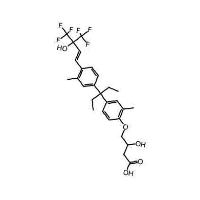 CCC(CC)(c1ccc(C=CC(O)(C(F)(F)F)C(F)(F)F)c(C)c1)c1ccc(OCC(O)CC(=O)O)c(C)c1